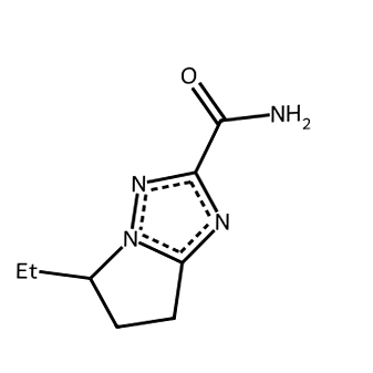 CCC1CCc2nc(C(N)=O)nn21